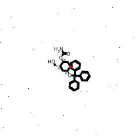 NC(=O)O[C@H]1CC[C@@H](OC(c2ccccc2)(c2ccccc2)c2ccccc2)C[C@@H]1CO